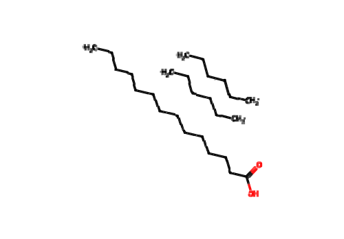 [CH2]CCCCCCCCCCCCC(=O)O.[CH2]CCCC[CH2].[CH2]CCCC[CH2]